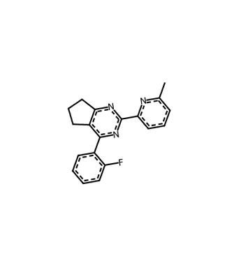 Cc1cccc(-c2nc3c(c(-c4ccccc4F)n2)CCC3)n1